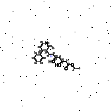 CCOC(=O)C[C@@H](O)C[C@@H](O)/C=C/c1c(-c2ccccc2)ccnc1C